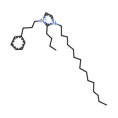 CCCCCCCCCCCCCCCn1cc[n+](CCCc2ccccc2)c1CCCC